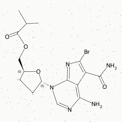 CC(C)C(=O)OC[C@@H]1[CH][CH][C@@H](n2cnc(N)c3c(C(N)=O)c(Br)nc2-3)O1